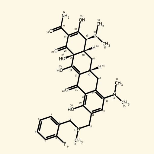 CN(Cc1ccccc1F)Cc1cc(N(C)C)c2c(c1O)C(=O)C1=C(O)[C@]3(O)C(=O)C(C(N)=O)=C(O)[C@@H](N(C)C)[C@@H]3C[C@@H]1C2